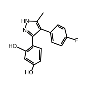 Cc1[nH]nc(-c2ccc(O)cc2O)c1-c1ccc(F)cc1